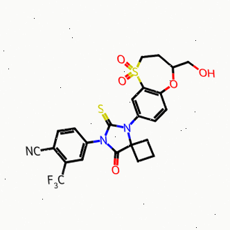 N#Cc1ccc(N2C(=O)C3(CCC3)N(c3ccc4c(c3)S(=O)(=O)CCC(CO)O4)C2=S)cc1C(F)(F)F